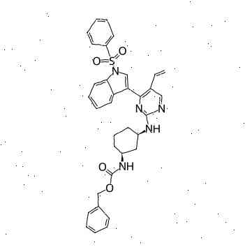 C=Cc1cnc(N[C@@H]2CCC[C@H](NC(=O)OCc3ccccc3)C2)nc1-c1cn(S(=O)(=O)c2ccccc2)c2ccccc12